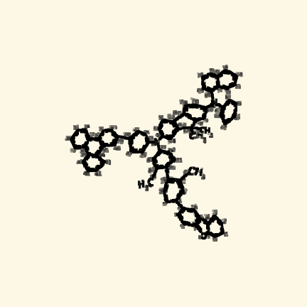 Cc1cc(-c2ccc3oc4ccccc4c3c2)ccc1-c1ccc(N(c2ccc(-c3ccc4c5ccccc5c5ccccc5c4c3)cc2)c2ccc3c(c2)C(C)(C)c2cc(N(c4ccccc4)c4cccc5ccccc45)ccc2-3)cc1C